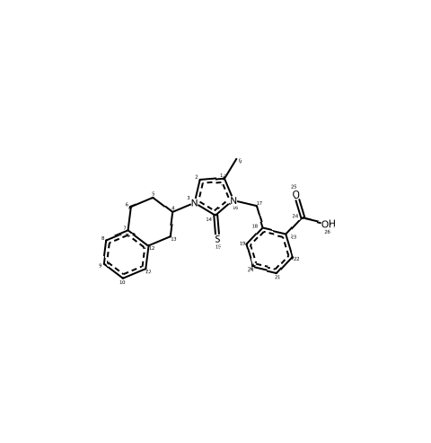 Cc1cn(C2CCc3ccccc3C2)c(=S)n1Cc1ccccc1C(=O)O